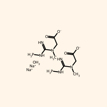 CN(CC(=O)[O-])C(=N)NP.CN(CC(=O)[O-])C(=N)NP.O.[Na+].[Na+]